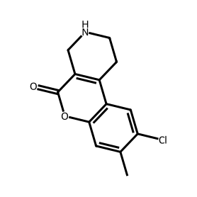 Cc1cc2oc(=O)c3c(c2cc1Cl)CCNC3